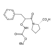 CC(C)(C)OC(=O)NOC(Cc1ccccc1)C(=O)N1CCC[C@H]1C(=O)O